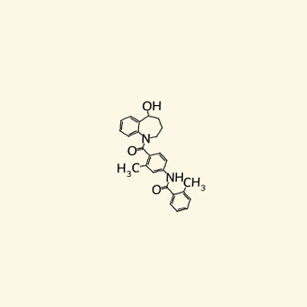 Cc1ccccc1C(=O)Nc1ccc(C(=O)N2CCCC(O)c3ccccc32)c(C)c1